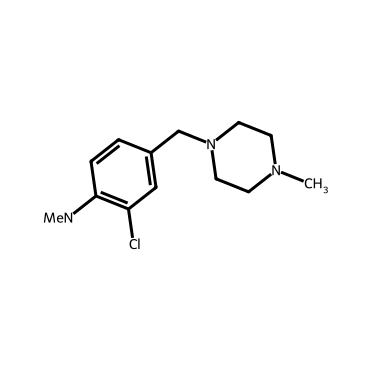 CNc1ccc(CN2CCN(C)CC2)cc1Cl